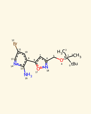 CC(C)(C)[Si](C)(C)OCc1cc(-c2cc(Br)cnc2N)on1